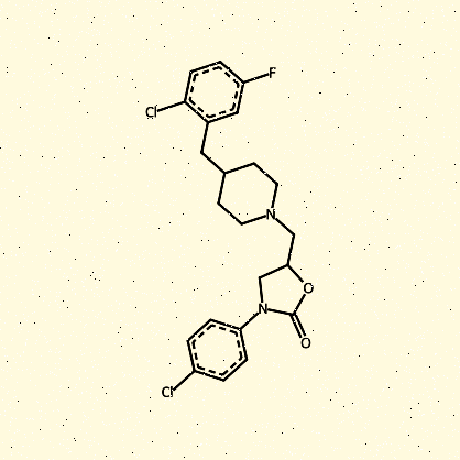 O=C1OC(CN2CCC(Cc3cc(F)ccc3Cl)CC2)CN1c1ccc(Cl)cc1